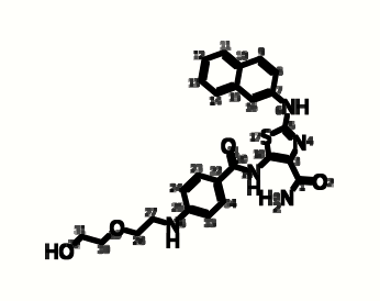 NC(=O)c1nc(Nc2ccc3ccccc3c2)sc1NC(=O)c1ccc(NCCOCCO)cc1